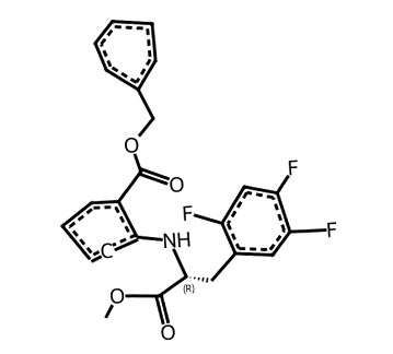 COC(=O)[C@@H](Cc1cc(F)c(F)cc1F)Nc1ccccc1C(=O)OCc1ccccc1